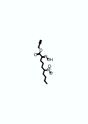 C#CCOC(=O)C(CCCC(CCCC)[N+](=O)[O-])=NO